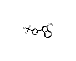 Cn1cc(-c2noc(C(Cl)(Cl)Cl)n2)c2ccccc21